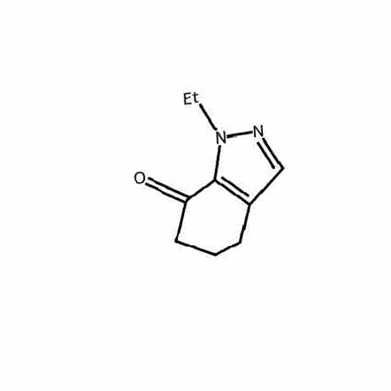 CCn1ncc2c1C(=O)CCC2